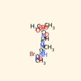 COC(=O)c1cc2c(cc1C(=O)OC)N1CC[C@@H](N3CCN(c4ccc(Nc5cc(Br)cn(C)c5=O)nc4)[C@@H](C)C3)C[C@H]1CO2